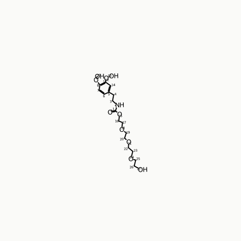 O=C(NCCc1ccc(OO)c(OO)c1)OCCOCCOCCOCCO